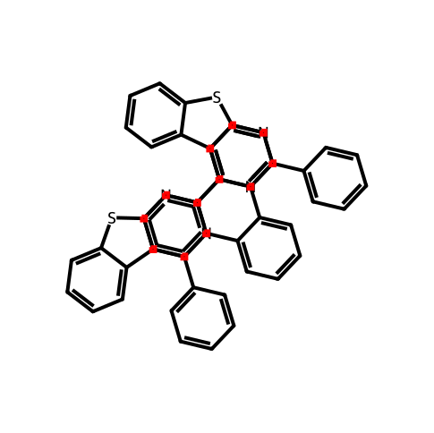 c1ccc(-c2nc(-c3ccccc3-c3ccccc3-c3ccccc3-c3nc(-c4ccccc4)c4c(n3)sc3ccccc34)c3c(n2)sc2ccccc23)cc1